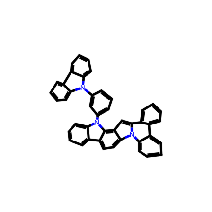 c1cc(-n2c3ccccc3c3ccccc32)cc(-n2c3ccccc3c3ccc4c(cc5c6ccccc6c6ccccc6n54)c32)c1